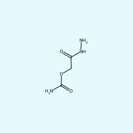 NNC(=O)COC(N)=O